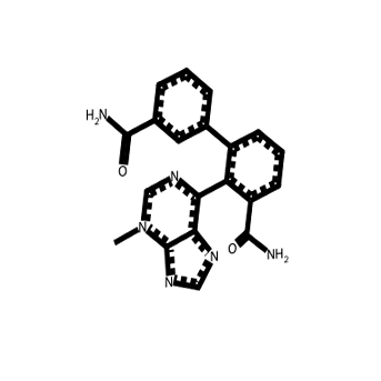 Cn1cnc(-c2c(C(N)=O)cccc2-c2cccc(C(N)=O)c2)c2ncnc1-2